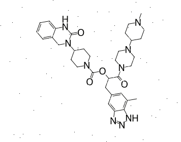 Cc1cc(CC(OC(=O)N2CCC(N3Cc4ccccc4NC3=O)CC2)C(=O)N2CCN(C3CCN(C)CC3)CC2)cc2nn[nH]c12